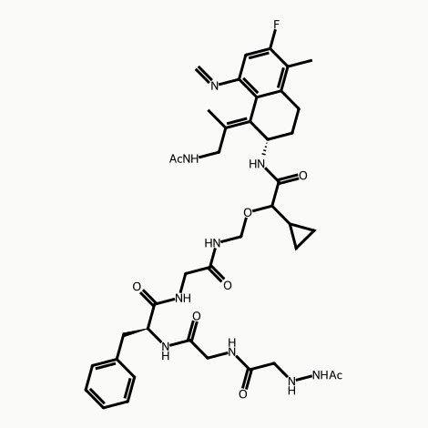 C=Nc1cc(F)c(C)c2c1/C(=C(\C)CNC(C)=O)[C@@H](NC(=O)C(OCNC(=O)CNC(=O)[C@H](Cc1ccccc1)NC(=O)CNC(=O)CNNC(C)=O)C1CC1)CC2